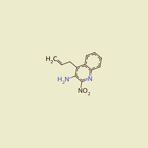 C=CCc1c(N)c([N+](=O)[O-])nc2ccccc12